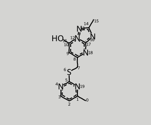 Cc1ccnc(SCc2cc(O)n3nc(C)nc3n2)n1